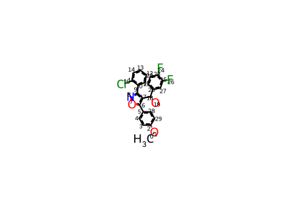 COc1ccc(-c2onc(-c3ccccc3Cl)c2C(=O)c2ccc(F)c(F)c2)cc1